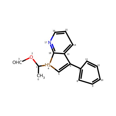 CC(OC=O)[SH]1C=C(c2ccccc2)c2cccnc21